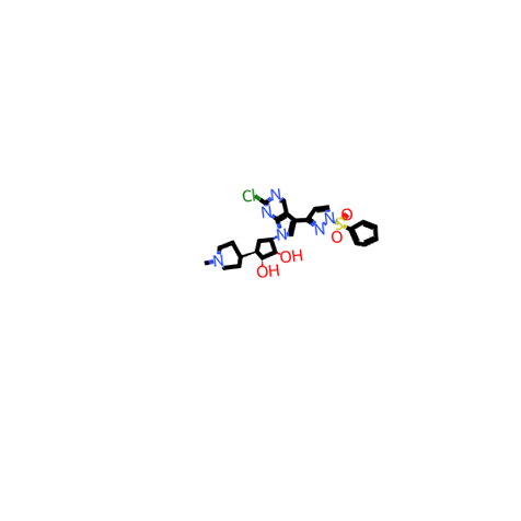 CN1CCC([C@H]2C[C@@H](n3cc(-c4ccn(S(=O)(=O)c5ccccc5)n4)c4cnc(Cl)nc43)[C@H](O)[C@@H]2O)CC1